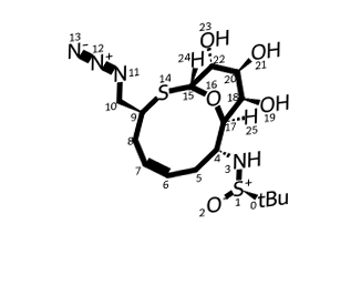 CC(C)(C)[S@@+]([O-])N[C@@H]1C/C=C\C[C@@H](CN=[N+]=[N-])S[C@H]2O[C@H]1[C@H](O)[C@H](O)[C@H]2O